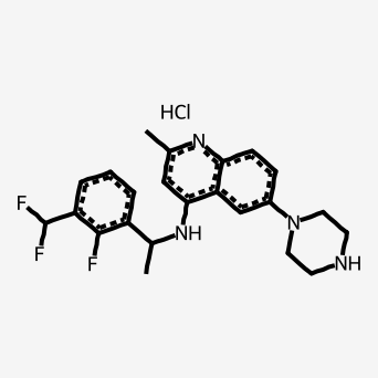 Cc1cc(NC(C)c2cccc(C(F)F)c2F)c2cc(N3CCNCC3)ccc2n1.Cl